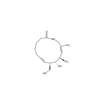 C/C1=C/[C@@H](C)[C@H](O)[C@@H](CO)/C=C/CCCCC(=O)NC1